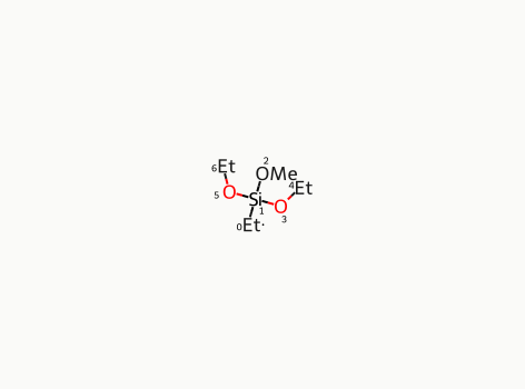 C[CH][Si](OC)(OCC)OCC